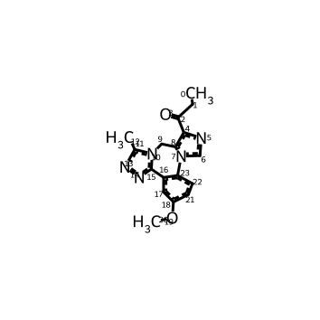 CCC(=O)c1ncn2c1Cn1c(C)nnc1-c1cc(OC)ccc1-2